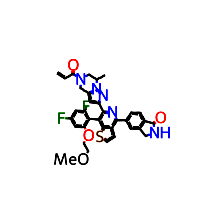 C=CC(=O)N1Cc2cc(-c3nc(-c4ccc5c(c4)CNC5=O)c4ccsc4c3-c3c(F)cc(F)cc3OCCOC)nn2C(C)C1